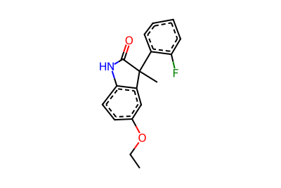 CCOc1ccc2c(c1)C(C)(c1ccccc1F)C(=O)N2